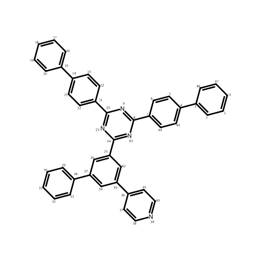 c1ccc(-c2ccc(-c3nc(-c4ccc(-c5ccccc5)cc4)nc(-c4cc(-c5ccccc5)cc(-c5ccncc5)c4)n3)cc2)cc1